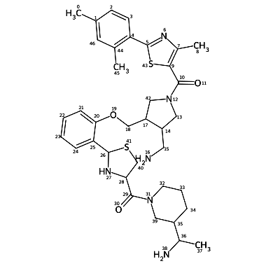 Cc1ccc(-c2nc(C)c(C(=O)N3CC(CN)C(COc4ccccc4C4NC(C(=O)N5CCCC(C(C)N)C5)CS4)C3)s2)c(C)c1